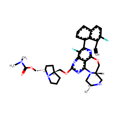 C#Cc1c(F)ccc2cccc(-c3nc4c5c(nc(OC[C@@]67CCCN6[C@H](COC(=O)N(C)C)CC7)nc5c3F)N3C[C@@H](CC)NC[C@H]3CO4)c12